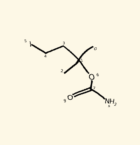 CC(C)(CCI)OC(N)=O